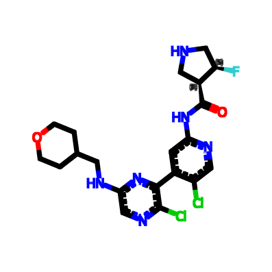 O=C(Nc1cc(-c2nc(NCC3CCOCC3)cnc2Cl)c(Cl)cn1)[C@H]1CNC[C@H]1F